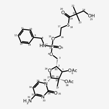 CC(=O)OC1[C@@H](COP(=O)(NCc2ccccc2)OCCSC(=O)C(C)(C)CO)O[C@@H](n2ccc(N)nc2=O)[C@@]1(C)OC(C)=O